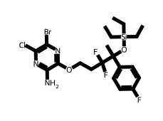 CC[Si](CC)(CC)OC(C)(c1ccc(F)cc1)C(F)(F)CCOc1nc(Br)c(Cl)nc1N